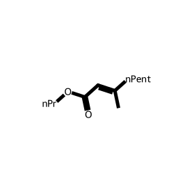 CCCCC/C(C)=C/C(=O)OCCC